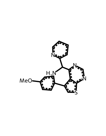 COc1ccc(-c2csc3ncnc(C(N)c4ccccn4)c23)cc1